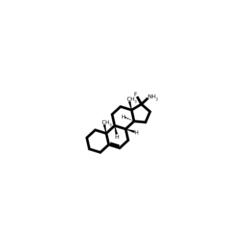 C[C@]12CCCCC1=CC[C@@H]1[C@H]2CC[C@@]2(C)[C@H]1CCC2(N)F